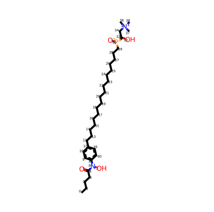 CCCCC(=O)N(O)c1ccc(CCCCCCCCCCCCCCCCCC/[P+]([O-])=C(\O)C[N+](C)(C)C)cc1